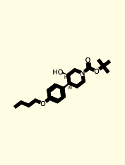 CCCCOc1ccc([C@@H]2CCN(C(=O)OC(C)(C)C)C[C@H]2O)cc1